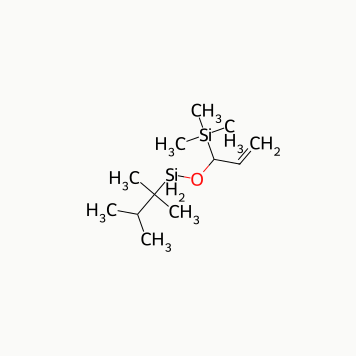 C=CC(O[SiH2]C(C)(C)C(C)C)[Si](C)(C)C